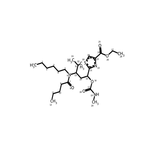 CCCCCCN(C(=O)CCCC)C(CC(OC(=O)NC)c1nc(C(=O)OCC)cs1)C(C)C